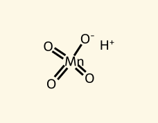 [H+].[O]=[Mn](=[O])(=[O])[O-]